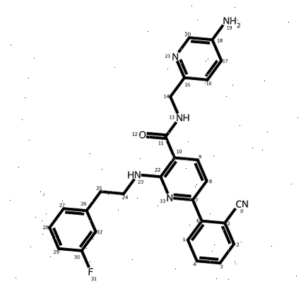 N#Cc1ccccc1-c1ccc(C(=O)NCc2ccc(N)cn2)c(NCCc2cccc(F)c2)n1